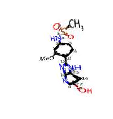 COc1cc(NS(C)(=O)=O)ccc1-c1nc2ncc(O)cc2[nH]1